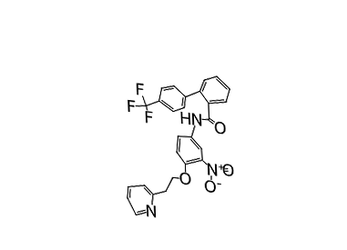 O=C(Nc1ccc(OCCc2ccccn2)c([N+](=O)[O-])c1)c1ccccc1-c1ccc(C(F)(F)F)cc1